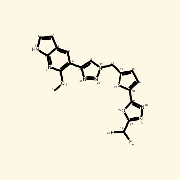 COc1nc2[nH]ccc2cc1-c1cn(Cc2ccc(-c3nnc(C(F)F)o3)s2)nn1